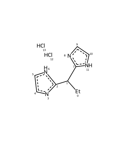 CCC(c1ncc[nH]1)c1ncc[nH]1.Cl.Cl